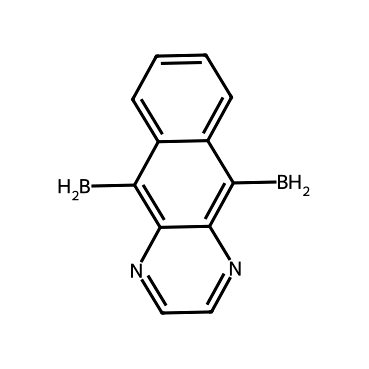 Bc1c2ccccc2c(B)c2nccnc12